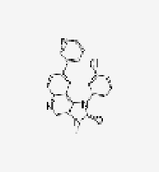 Cn1c(=O)n(-c2cccc(Cl)c2)c2c3cc(-c4cccnc4)ccc3ncc21